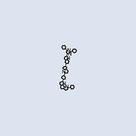 c1ccc(-c2cc(-c3ccc4cc(-c5ccc6nc(-c7ccc(-c8ccc9ccc%10ccc(-c%11ccccc%11)nc%10c9n8)cc7)ccc6c5)ccc4n3)nc(-c3ccccc3)n2)cc1